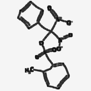 Cc1ccccc1S(=O)(=O)OC(c1ccccc1)([N+](=O)[O-])[N+](=O)[O-]